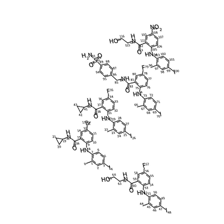 Cc1cc(I)ccc1Nc1ccc(Br)cc1C(=O)NC1CC1.Cc1cc(I)ccc1Nc1ccc(F)cc1C(=O)NC1CC1.Cc1cc(I)ccc1Nc1ccc(F)cc1C(=O)NCCO.Cc1cc(I)ccc1Nc1ccc(F)cc1C(=O)NCc1ccc(S(N)(=O)=O)cc1.Cc1cc(I)ccc1Nc1ccc([N+](=O)[O-])cc1C(=O)NCCO